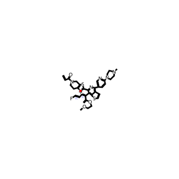 C=CC(=O)N1CCc2nc(-c3nc(-c4ccc(N5CCN(C)CC5)nc4)c4ccsc4c3/C(C(=C)OCCOC)=C(F)/C=C/F)sc2C1